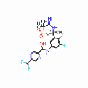 CC1(C)C(=N)N[C@](C)(c2cc(NC(O)c3cnc(C(F)F)cn3)cc(F)c2F)CS1(=O)=O